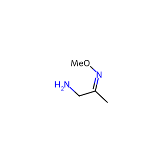 CO/N=C(/C)CN